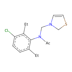 CCc1ccc(Cl)c(CC)c1N(CN1C=CSC1)C(C)=O